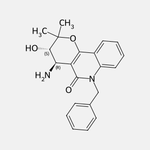 CC1(C)Oc2c(c(=O)n(Cc3ccccc3)c3ccccc23)[C@@H](N)[C@@H]1O